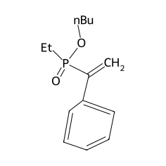 C=C(c1ccccc1)P(=O)(CC)OCCCC